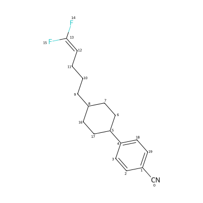 N#Cc1ccc(C2CCC(CCCC=C(F)F)CC2)cc1